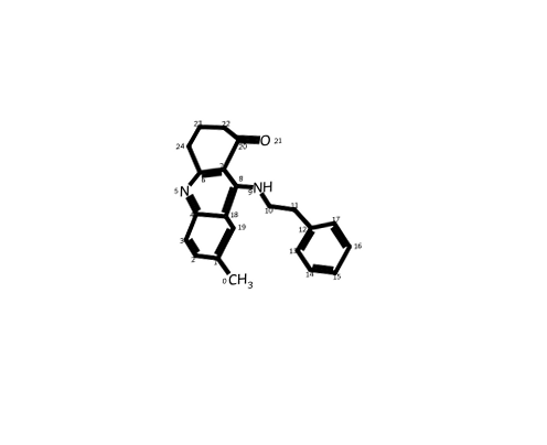 Cc1ccc2nc3c(c(NCCc4ccccc4)c2c1)C(=O)CCC3